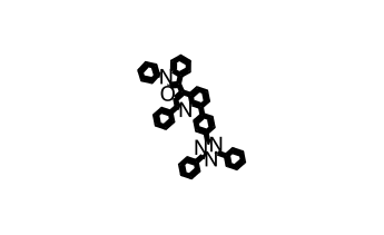 c1ccc(-c2nc(-c3ccccc3)nc(-c3ccc(-c4cccc5c4nc(-c4ccccc4)c4oc6c(c7ccccc7n6-c6ccccc6)c45)cc3)n2)cc1